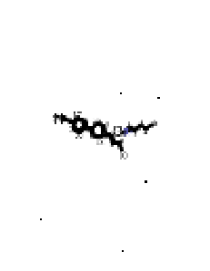 CCCC/C=C/OC(CCC)C1CCC(c2ccc(C#N)cc2)CC1